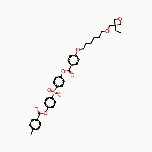 CCC1(COCCCCCCOc2ccc(C(=O)Oc3ccc(S(=O)(=O)c4ccc(OC(=O)c5ccc(C)cc5)cc4)cc3)cc2)COC1